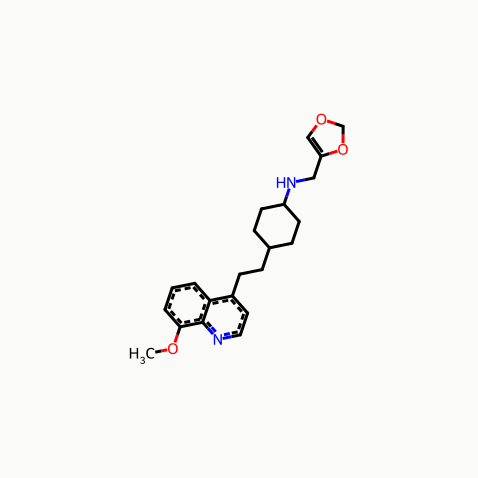 COc1cccc2c(CCC3CCC(NCC4=COCO4)CC3)ccnc12